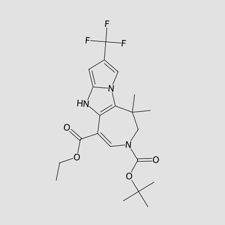 CCOC(=O)C1=CN(C(=O)OC(C)(C)C)CC(C)(C)c2c1[nH]c1cc(C(F)(F)F)cn21